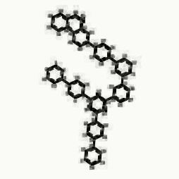 c1ccc(-c2ccc(-c3nc(-c4ccc(-c5ccccc5)cc4)nc(-c4cccc(-c5cccc(-c6ccc(-c7ccc8c(c7)ncc7ccccc78)cc6)c5)c4)n3)cc2)cc1